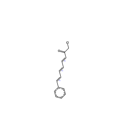 O=C(/C=C/C=C/C=C/c1ccccc1)CCl